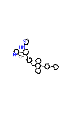 Cc1ncccc1-c1cc(-c2ccc(Cc3c4ccccc4c(-c4ccc(-c5ccccc5)cc4)c4ccccc34)cc2)ccc1Nc1ccccn1